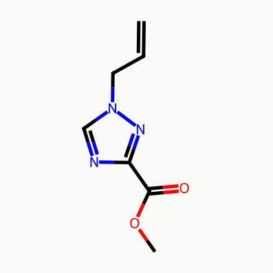 C=CCn1cnc(C(=O)OC)n1